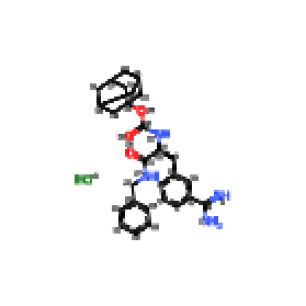 Cl.N=C(N)c1cccc(C[C@H](NC(=O)OC23CC4CC(CC(C4)C2)C3)C(=O)NCc2ccccc2)c1